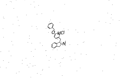 CN(C)C1Cc2ccccc2C1Cc1ccc(OCc2ccccc2)cc1.Cl